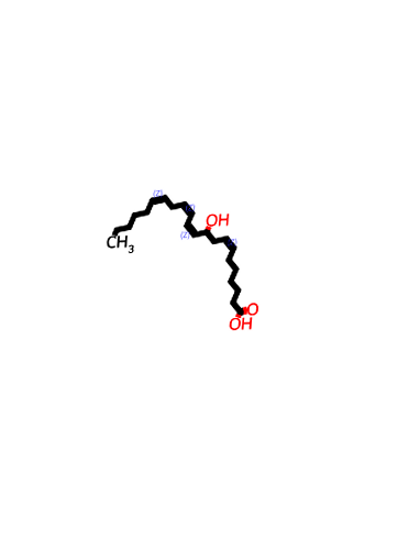 CCCCC/C=C\C/C=C\C=C/C(O)C/C=C\CCCCCC(=O)O